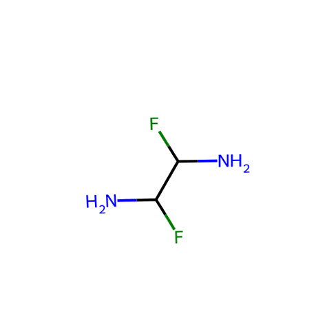 NC(F)C(N)F